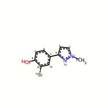 Cn1ccc(-c2ccc(O)c(Br)c2)n1